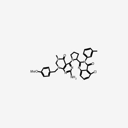 COc1ccc(CN2CN(C)C(=O)c3c2nc(N)nc3N2CCCC2c2nc3cccc(Cl)c3c(=O)n2-c2cccc(C)c2)cc1